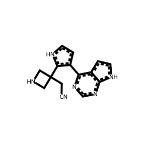 N#CCC1(c2[nH]ccc2-c2ncnc3[nH]ccc23)CNC1